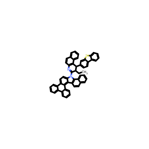 CCC1C(n2c3ccc4c5ccccc5c5ccccc5c4c3c3ccc4ccccc4c32)=Nc2ccc3ccccc3c2C1c1ccc2c(c1)sc1ccccc12